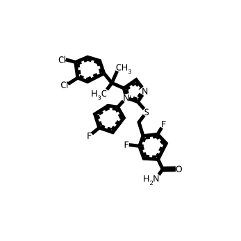 CC(C)(c1ccc(Cl)c(Cl)c1)c1cnc(SCc2c(F)cc(C(N)=O)cc2F)n1-c1ccc(F)cc1